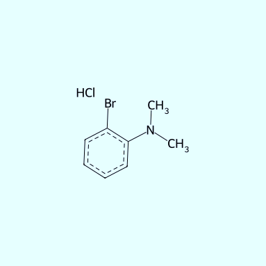 CN(C)c1ccccc1Br.Cl